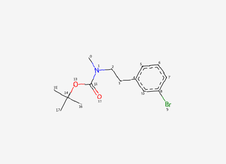 CN(CCc1cccc(Br)c1)C(=O)OC(C)(C)C